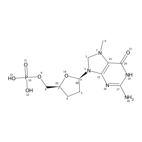 CN1CN([C@H]2CC[C@@H](COP(=O)(O)O)O2)c2nc(N)[nH]c(=O)c21